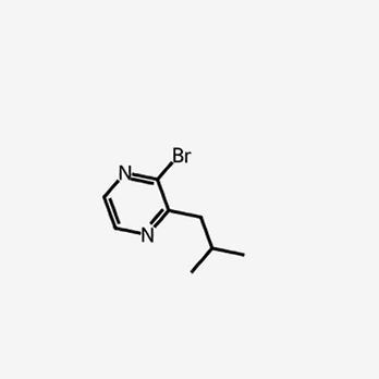 CC(C)Cc1nccnc1Br